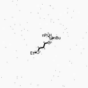 CCCC[SiH](CCC)OCCCOCC